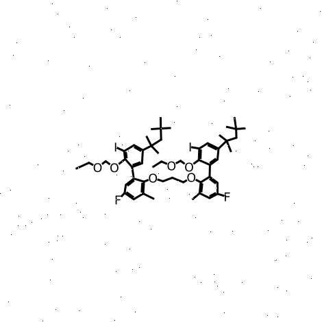 CCOCOc1c(I)cc(C(C)(C)CC(C)(C)C)cc1-c1cc(F)cc(C)c1OCCCOc1c(C)cc(F)cc1-c1cc(C(C)(C)CC(C)(C)C)cc(I)c1OCOCC